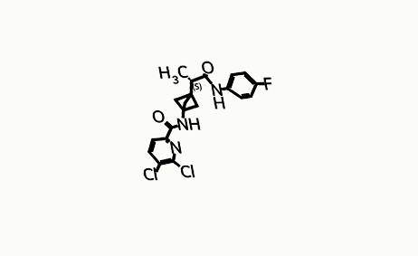 C[C@H](C(=O)Nc1ccc(F)cc1)C12CC(NC(=O)c3ccc(Cl)c(Cl)n3)(C1)C2